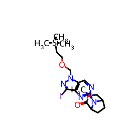 CN1CC2CCC(C1=O)N2c1ncc2c(n1)c(I)nn2COCC[Si](C)(C)C